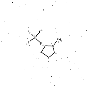 F[B-](F)(F)F.PN1CCCC1